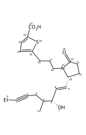 CCC#CCC(C)[C@@H](O)/C=C/[C@H]1CCC(=O)N1CCCc1ccc(C(=O)O)s1